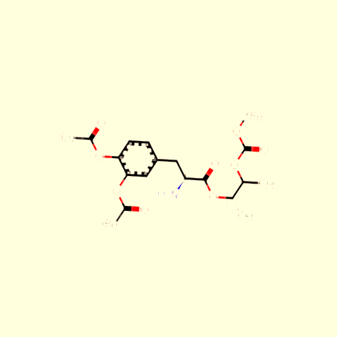 CCC(C)C(=O)Oc1ccc(C[C@H](N)C(=O)O[C@@H](C)C(C)OC(=O)OC(C)(C)C)cc1OC(=O)C(C)CC